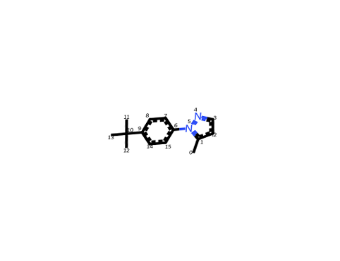 Cc1[c]cnn1-c1ccc(C(C)(C)C)cc1